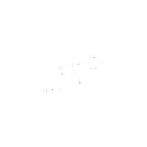 CC(C(=O)O)c1ccc2c(c1)C(=O)Cc1ccccc1O2